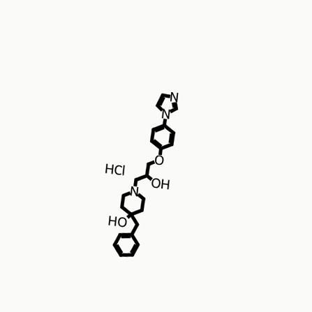 Cl.OC(COc1ccc(-n2ccnc2)cc1)CN1CCC(O)(Cc2ccccc2)CC1